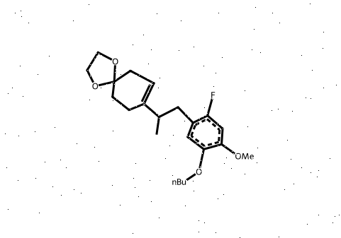 CCCCOc1cc(CC(C)C2=CCC3(CC2)OCCO3)c(F)cc1OC